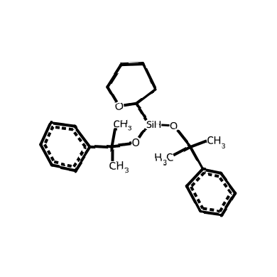 CC(C)(O[SiH](OC(C)(C)c1ccccc1)C1CCCCO1)c1ccccc1